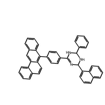 c1ccc(C2NC(c3ccc(-c4c5ccccc5cc5c4ccc4ccccc45)cc3)=NC(c3cccc4ccccc34)N2)cc1